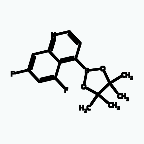 CC1(C)OB(c2ccnc3cc(F)cc(F)c23)OC1(C)C